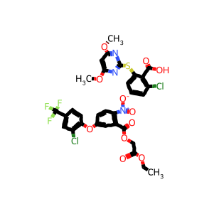 CCOC(=O)COC(=O)c1cc(Oc2ccc(C(F)(F)F)cc2Cl)ccc1[N+](=O)[O-].COc1cc(OC)nc(Sc2cccc(Cl)c2C(=O)O)n1